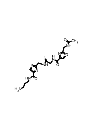 CC(=O)NCc1nc(C(=O)NCC(=O)NCc2nc(C(=O)NCCCN)cs2)co1